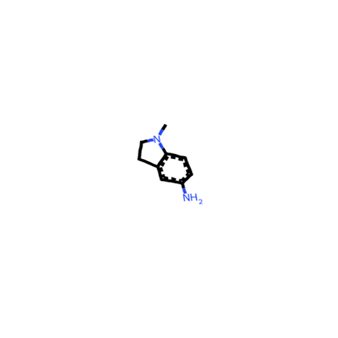 CN1CCc2cc(N)ccc21